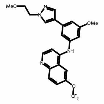 COCCn1cc(-c2cc(Nc3ccnc4ccc(OC(F)(F)F)cc34)cc(OC)c2)cn1